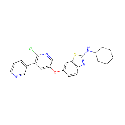 Clc1ncc(Oc2ccc3nc(NC4CCCCC4)sc3c2)cc1-c1cccnc1